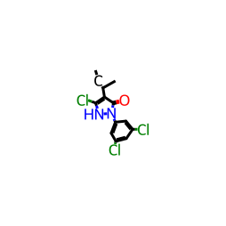 CCC(C)c1c(Cl)[nH]n(-c2cc(Cl)cc(Cl)c2)c1=O